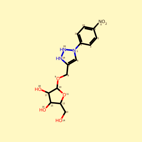 O=[N+]([O-])c1ccc(N2C=C(COC3OC(CO)C(O)C3O)NN2)cc1